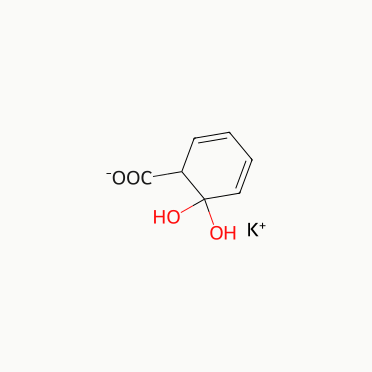 O=C([O-])C1C=CC=CC1(O)O.[K+]